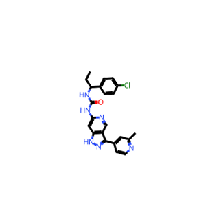 CCC(NC(=O)Nc1cc2[nH]nc(-c3ccnc(C)c3)c2cn1)c1ccc(Cl)cc1